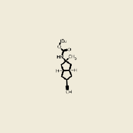 C#CC1C[C@@H]2C[C@@](C)(NC(=O)OC(C)(C)C)C[C@@H]2C1